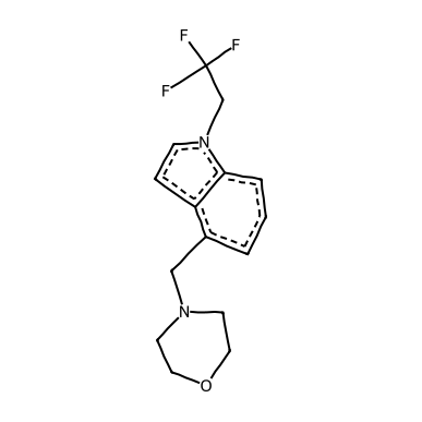 FC(F)(F)Cn1ccc2c(CN3CCOCC3)cccc21